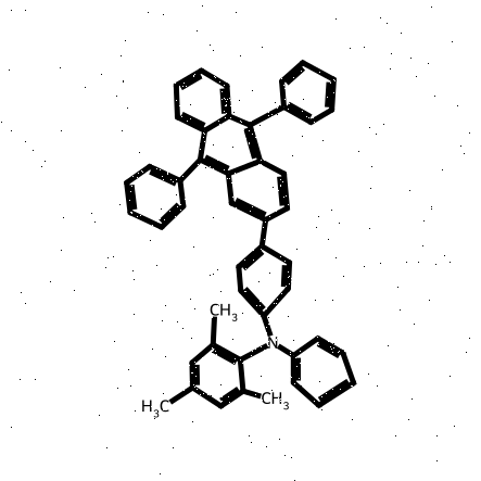 Cc1cc(C)c(N(c2ccccc2)c2ccc(-c3ccc4c(-c5ccccc5)c5ccccc5c(-c5ccccc5)c4c3)cc2)c(C)c1